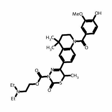 CCN(CC)CCOC(=O)N1N=C(c2ccc3c(c2)C(C)(C)CCN3C(=O)c2ccc(O)c(OC)c2)C(C)SC1=O